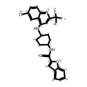 O=C(NC1CCC(Nc2cc(C(F)(F)F)nc3ccc(Cl)cc23)CC1)c1cc2ccccc2o1